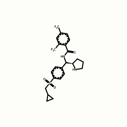 O=C(NC(c1ccc(S(=O)(=O)CC2CC2)cc1)[C@H]1CCCN1)c1ccc(C(F)(F)F)cc1C(F)(F)F